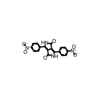 O=C1NC(c2ccc([N+](=O)[O-])cc2)=C2C(=O)NC(c3ccc([N+](=O)[O-])cc3)=C12